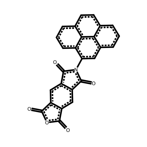 O=c1oc(=O)c2cc3c(=O)n(-c4cc5cccc6ccc7cccc4c7c65)c(=O)c3cc12